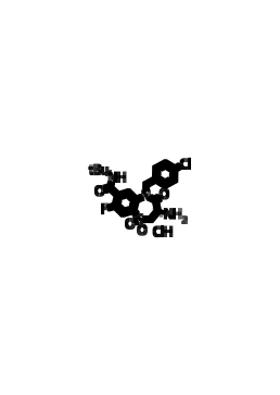 CC(C)(C)NC(=O)c1cc2c(cc1F)S(=O)(=O)C[C@H](N)C(=O)N2Cc1ccc(Cl)cc1.Cl